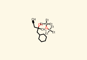 C#CCC(C)(O)CC1CCCCC1.CC[Si](CC)(CC)O[Si](CC)(CC)CC